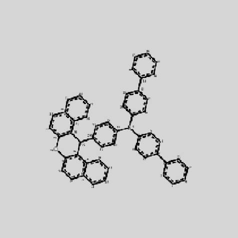 c1ccc(-c2ccc(N(c3ccc(-c4ccccc4)cc3)c3ccc(C4c5c(ccc6ccccc56)Oc5ccc6ccccc6c54)cc3)cc2)cc1